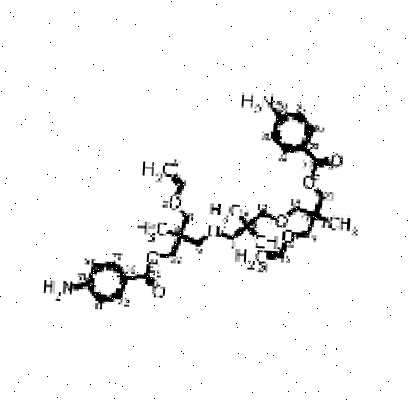 C=COCC(C)(COCC(C)(C)COCC(C)(COC=C)COC(=O)c1ccc(N)cc1)COC(=O)c1ccc(N)cc1